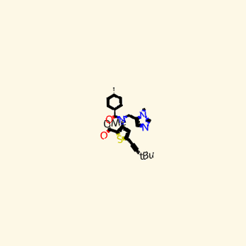 COC(=O)c1sc(C#CC(C)(C)C)cc1N(Cc1cncn1C)C(=O)[C@H]1CC[C@H](C)CC1